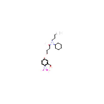 CCCCN(C(=O)CCCOc1ccc([N+](=O)[O-])c(C=O)c1)C1CCCCC1